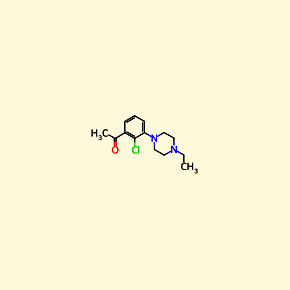 CCN1CCN(c2cccc(C(C)=O)c2Cl)CC1